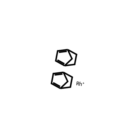 C1=C2CCC(=C1)C2.C1=C2CCC(=C1)C2.[Rh+]